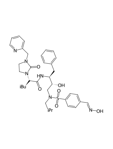 CC[C@H](C)[C@@H](C(=O)N[C@@H](Cc1ccccc1)[C@H](O)CN(CC(C)C)S(=O)(=O)c1ccc(C=NO)cc1)N1CCN(Cc2ccccn2)C1=O